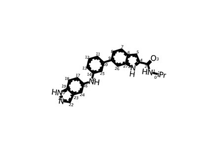 CC(C)NC(=O)c1cc2ccc(-c3cccc(Nc4ccc5[nH]ncc5c4)c3)cc2[nH]1